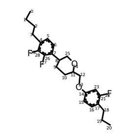 CCCCc1ccc(C2CCC(COc3ccc(CCC)c(F)c3)OC2)c(F)c1F